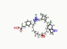 C/C(=C\c1cccc(C2CCCC(C)(C)CS(=O)(=O)CCc3c(c(F)cc4[nH]ccc34)Cc3ccc(F)c(c3)-c3nc2nn3C)c1)C(=O)O